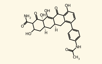 CC(=O)Nc1ccc(-c2ccc(O)c3c2C[C@H]2C[C@H]4CC(O)C(C(N)=O)C(=O)[C@@]4(O)C(O)=C2C3=O)cc1